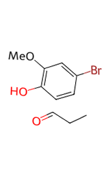 CCC=O.COc1cc(Br)ccc1O